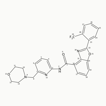 O=C(Nc1cccc(CN2CCOCC2)n1)c1cccc2oc(-c3ccccc3C(F)(F)F)nc12